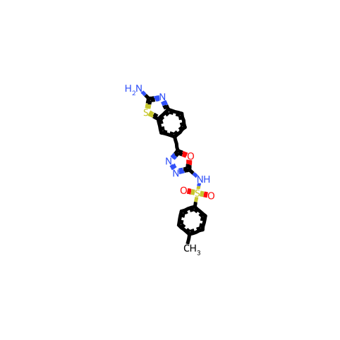 Cc1ccc(S(=O)(=O)Nc2nnc(-c3ccc4nc(N)sc4c3)o2)cc1